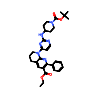 CCOC(=O)c1cc2c(nc1-c1ccccc1)N(c1ccnc(NC3CCN(C(=O)OC(C)(C)C)CC3)n1)CCC2